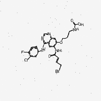 O=C(O)NCCCOc1cc2ncnc(Nc3ccc(F)c(Cl)c3)c2cc1NC(=O)C=CCBr